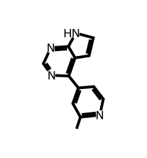 Cc1cc(-c2ncnc3[nH]ccc23)ccn1